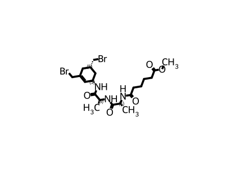 COC(=O)CCCCC(=O)N[C@@H](C)C(=O)N[C@@H](C)C(=O)N[C@@H]1C=C(CBr)C[C@H](CBr)C1